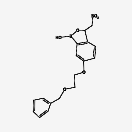 O=[N+]([O-])CC1OB(O)c2cc(OCCOCc3ccccc3)ccc21